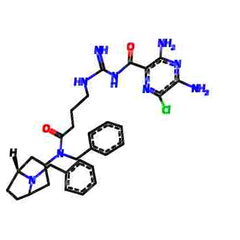 N=C(NCCCC(=O)N(Cc1ccccc1)C1CC2CC[C@H](C1)N2Cc1ccccc1)NC(=O)c1nc(Cl)c(N)nc1N